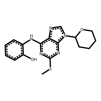 CSc1nc(Nc2ccccc2O)c2ncn(C3CCCCO3)c2n1